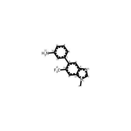 Cn1cnc2cc(-c3cccc(N)c3)c(C(F)(F)F)cc21